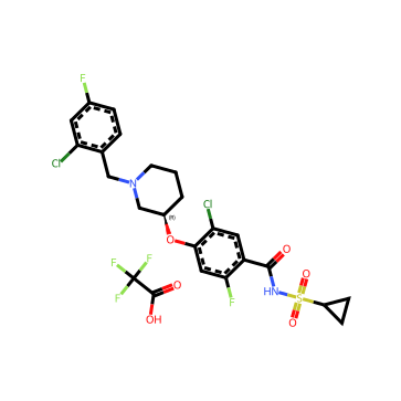 O=C(NS(=O)(=O)C1CC1)c1cc(Cl)c(O[C@@H]2CCCN(Cc3ccc(F)cc3Cl)C2)cc1F.O=C(O)C(F)(F)F